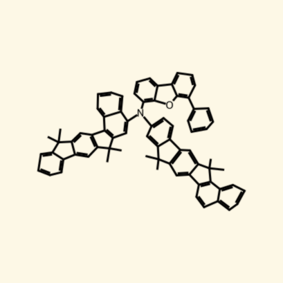 CC1(C)c2ccccc2-c2cc3c(cc21)-c1c(cc(N(c2ccc4c(c2)C(C)(C)c2cc5c(cc2-4)C(C)(C)c2c-5ccc4ccccc24)c2cccc4c2oc2c(-c5ccccc5)cccc24)c2ccccc12)C3(C)C